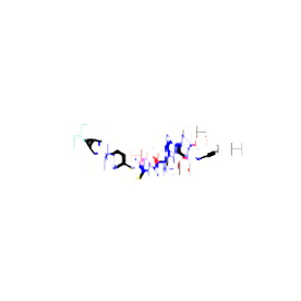 CC#CCn1c(=O)c2c(ncn2[C@@H](C)C(O)Nc2csc(-c3ccc(N4CC5C(C4)C5(F)F)nc3)n2)n(C)c1=O